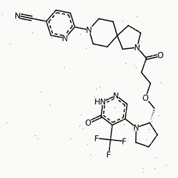 N#Cc1ccc(N2CCC3(CCN(C(=O)CCOC[C@@H]4CCCN4c4cn[nH]c(=O)c4C(F)(F)F)C3)CC2)nc1